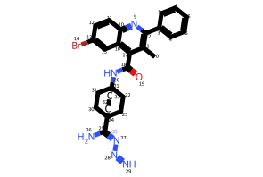 Cc1c(-c2ccccc2)nc2ccc(Br)cc2c1C(=O)NC12CCC(/C(N)=N/N=N)(CC1)CC2